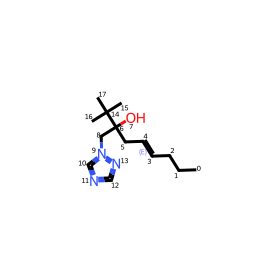 CCC/C=C/CC(O)(Cn1cncn1)C(C)(C)C